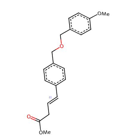 COC(=O)C/C=C/c1ccc(COCc2ccc(OC)cc2)cc1